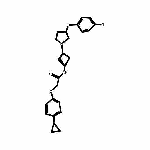 O=C(COc1ccc(C2CC2)cc1)NC12CC(N3CCC(Oc4ccc(Cl)cc4)C3)(C1)C2